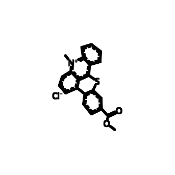 COC(=O)c1ccc2c(c1)Sc1c3ccccc3[n+](C)c3cccc-2c13.[Cl-]